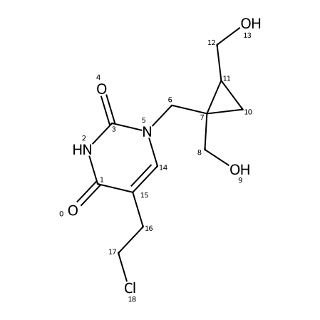 O=c1[nH]c(=O)n(CC2(CO)CC2CO)cc1CCCl